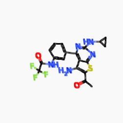 CC(=O)c1sc2nc(NC3CC3)nc(-c3cccc(NC(=O)C(F)(F)F)c3)c2c1N